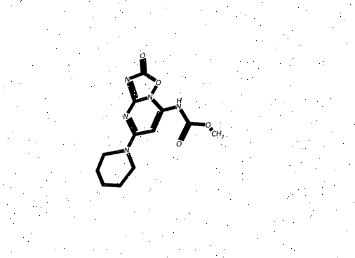 COC(=O)Nc1cc(N2CCCCC2)nc2nc(=O)on12